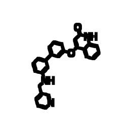 O=c1cc(Oc2cccc(-c3cccc(NCc4cccnc4)c3)c2)c2ccccc2[nH]1